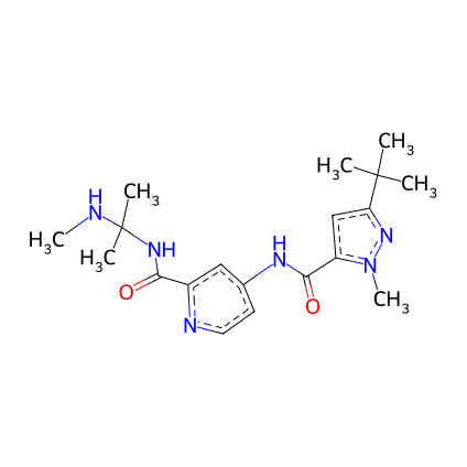 CNC(C)(C)NC(=O)c1cc(NC(=O)c2cc(C(C)(C)C)nn2C)ccn1